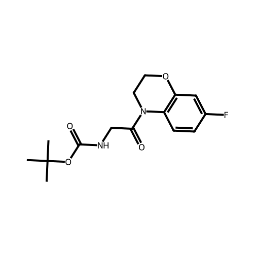 CC(C)(C)OC(=O)NCC(=O)N1CCOc2cc(F)ccc21